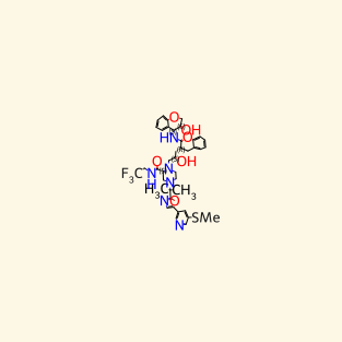 CSc1cncc(-c2cnc(C(C)(C)N3CCN(C[C@@H](O)C[C@@H](Cc4ccccc4)C(=O)N[C@H]4c5ccccc5OC[C@H]4O)[C@H](C(=O)NCC(F)(F)F)C3)o2)c1